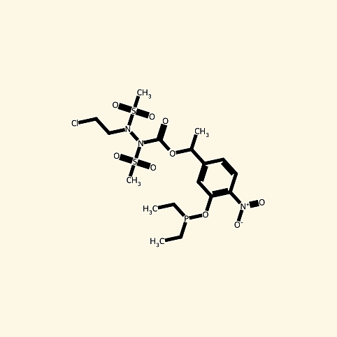 CCP(CC)Oc1cc(C(C)OC(=O)N(N(CCCl)S(C)(=O)=O)S(C)(=O)=O)ccc1[N+](=O)[O-]